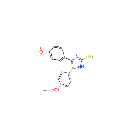 COc1ccc(-c2nc(S)[nH]c2-c2ccc(OC)cc2)cc1